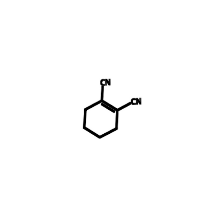 N#CC1=C(C#N)CCCC1